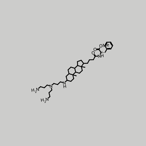 COC(=O)[C@H](Cc1ccccc1)NC(=O)CCCC1CCC2C3CCC4CC(NCCCN(CCCN)CCCN)CCC4(C)C3CCC12C